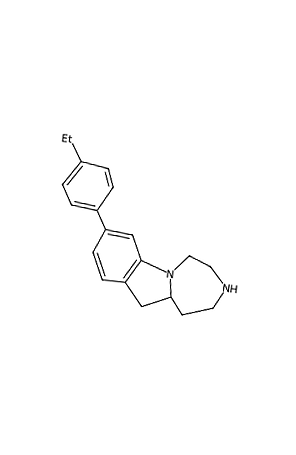 CCc1ccc(-c2ccc3c(c2)N2CCNCCC2C3)cc1